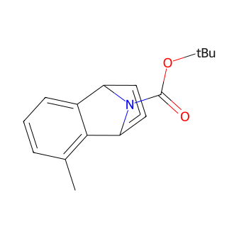 Cc1cccc2c1C1=C=CC2N1C(=O)OC(C)(C)C